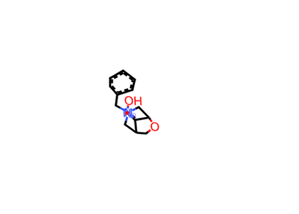 O/N=C1/C2COC1CN(Cc1ccccc1)C2